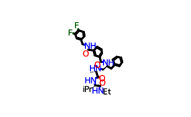 CCNC(=O)[C@@H](NC(=O)[C@H](C)NC[C@H](Cc1ccccc1)NC(=O)c1cccc(C(=O)NCc2ccc(F)c(F)c2)c1)C(C)C